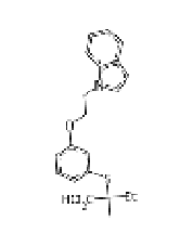 CCC(C)(Sc1cccc(OCCn2ccc3ccccc32)c1)C(=O)O